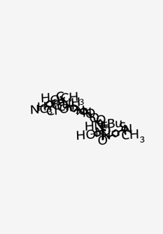 Cc1ncsc1-c1ccc(CNC(=O)[C@@H]2C[C@@H](O)CN2C(=O)[C@@H](NC(=O)COCON2CCN(c3ccc(C(=O)N[C@H]4C(C)(C)[C@H](Oc5ccc(C#N)c(Cl)c5)C4(C)C)cc3)CC2)C(C)(C)C)cc1